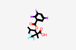 CC(C)C(OC(=O)c1cc(I)cc(I)c1I)C(C)(C(=O)O)C(F)(F)F